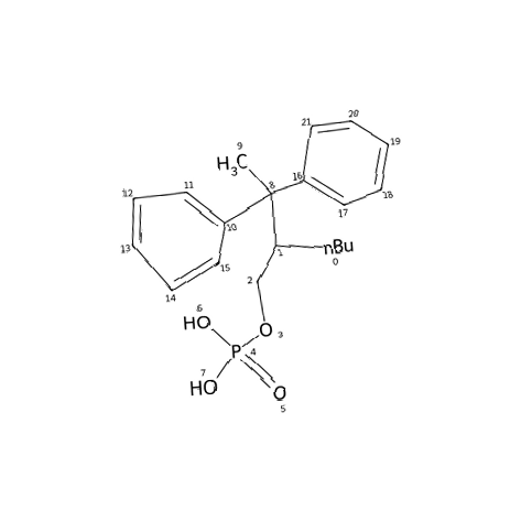 CCCCC(COP(=O)(O)O)C(C)(c1ccccc1)c1ccccc1